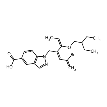 C=C(Br)/C=C(Cn1ncc2cc(C(=O)O)ccc21)\C(=C/C)OCC(CC)CC